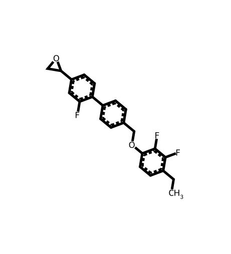 CCc1ccc(OCc2ccc(-c3ccc(C4CO4)cc3F)cc2)c(F)c1F